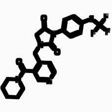 O=C(c1cnccc1CN1CC(=O)N(c2ccc(SC(F)(F)F)cc2)C1=O)N1CCCCC1